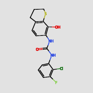 O=C(Nc1ccc2c(c1O)SCCC2)Nc1cccc(F)c1Cl